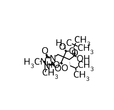 CC(C)C[C@@H](C(=O)O)C(Cn1c(=O)n(C)n(C)c1=O)(C(=O)O)C(=O)OC(C)(C)C